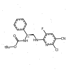 CC(C)(C)OC(=O)N[C@H](CNc1nc(Cl)c(C#N)cc1F)c1ccccc1